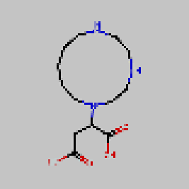 O=C(O)CC(C(=O)O)N1CCCCCNCCNCC1